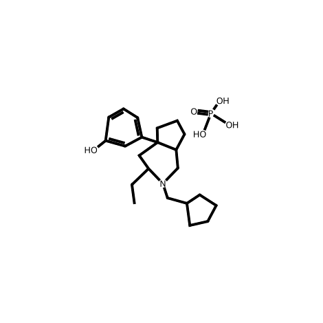 CCC1CC2(c3cccc(O)c3)CCCC2CN1CC1CCCC1.O=P(O)(O)O